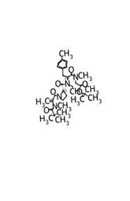 CCN(C(=O)[C@@H]1CCN1C(=O)[C@H](C)N(C)C(=O)C(C)(C)C)[C@@H](Cc1ccc(C)cc1)C(=O)N(C)CC(=O)OC(C)(C)C